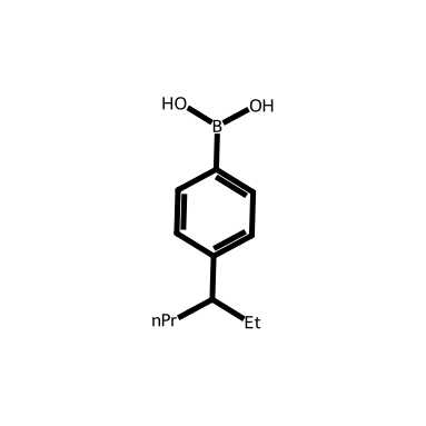 CCCC(CC)c1ccc(B(O)O)cc1